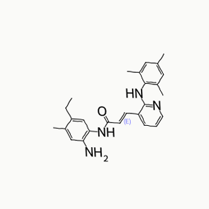 CCc1cc(NC(=O)/C=C/c2cccnc2Nc2c(C)cc(C)cc2C)c(N)cc1C